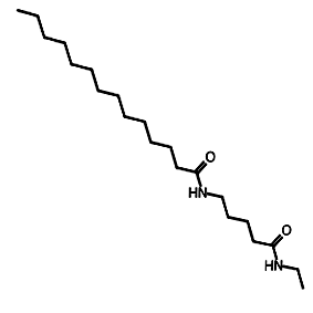 CCCCCCCCCCCCCC(=O)NCCCCC(=O)NCC